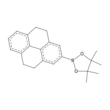 CC1(C)OB(c2cc3c4c(c2)CCc2cccc(c2-4)CC3)OC1(C)C